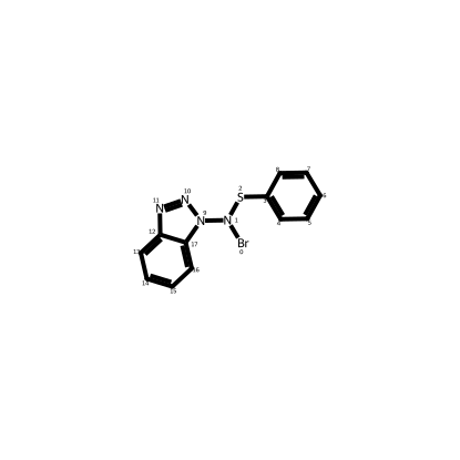 BrN(Sc1ccccc1)n1nnc2ccccc21